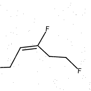 CC/C=C(/F)CCF